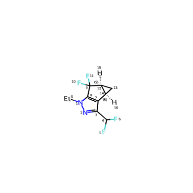 CCn1nc(C(F)F)c2c1C(F)(F)[C@H]1C[C@@H]21